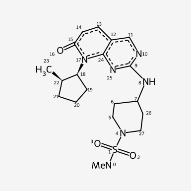 CNS(=O)(=O)N1CCC(Nc2ncc3ccc(=O)n([C@H]4CCC[C@H]4C)c3n2)CC1